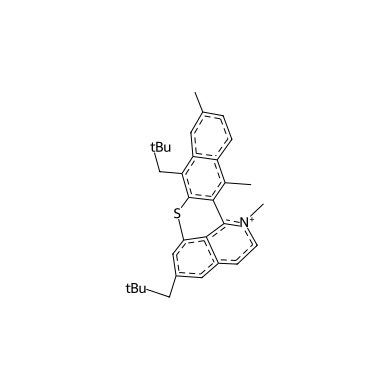 Cc1ccc2c(C)c3c(c(CC(C)(C)C)c2c1)Sc1cc(CC(C)(C)C)cc2cc[n+](C)c-3c12